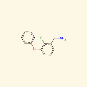 NCc1cccc(Oc2ccccc2)c1F